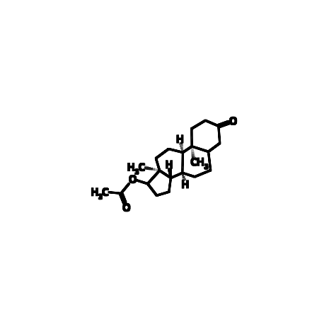 CC(=O)OC1CC[C@H]2[C@@H]3CCC4CC(=O)CC[C@]4(C)[C@@H]3CC[C@]12C